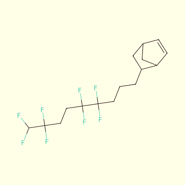 FC(F)C(F)(F)CCC(F)(F)C(F)(F)CCCC1CC2C=CC1C2